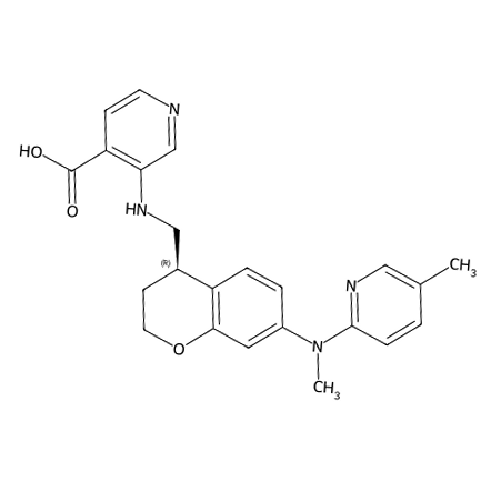 Cc1ccc(N(C)c2ccc3c(c2)OCC[C@H]3CNc2cnccc2C(=O)O)nc1